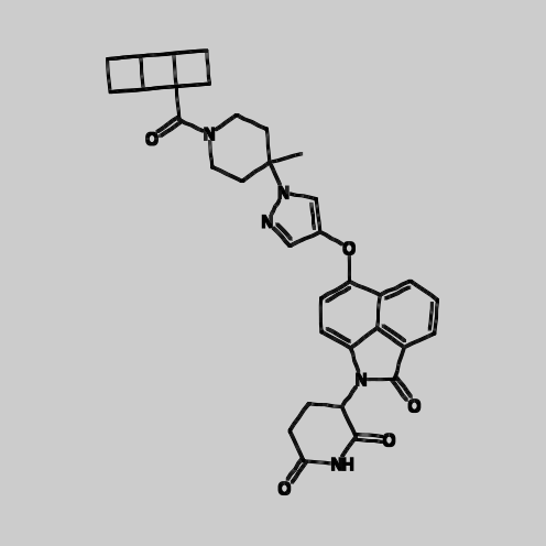 CC1(n2cc(Oc3ccc4c5c(cccc35)C(=O)N4C3CCC(=O)NC3=O)cn2)CCN(C(=O)C23C4C5C6C4C2C6C53)CC1